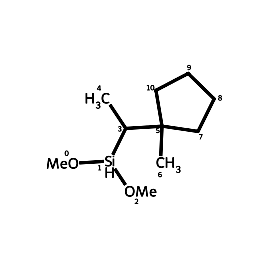 CO[SiH](OC)C(C)C1(C)CCCC1